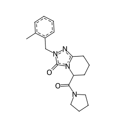 Cc1ccccc1Cn1nc2n(c1=O)C(C(=O)N1CCCC1)CCC2